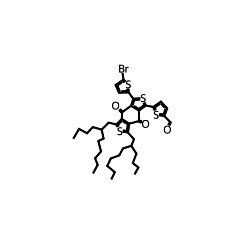 CCCCCCC(CCCC)Cc1sc(CC(CCCC)CCCCCC)c2c1C(=O)c1c(-c3ccc(Br)s3)sc(-c3ccc(C=O)s3)c1C2=O